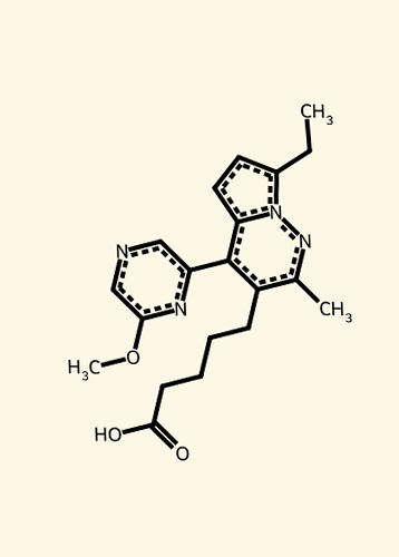 CCc1ccc2c(-c3cncc(OC)n3)c(CCCCC(=O)O)c(C)nn12